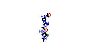 C=N/C(=C\N=C(/C)C(=O)Nc1cc(F)c2nc(C)cn2c1)N1CCC(NC2COC2)C1